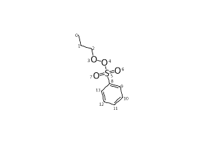 CCCOOS(=O)(=O)c1ccccc1